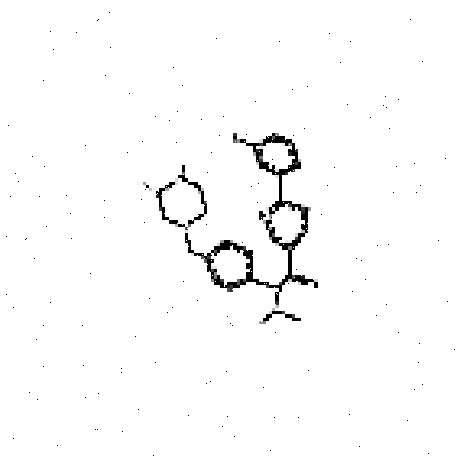 CC(C)N(C(=O)c1ccc(-c2cccc(F)c2)nc1)c1ccc(CN2CCN[C@@H](C)C2)cc1